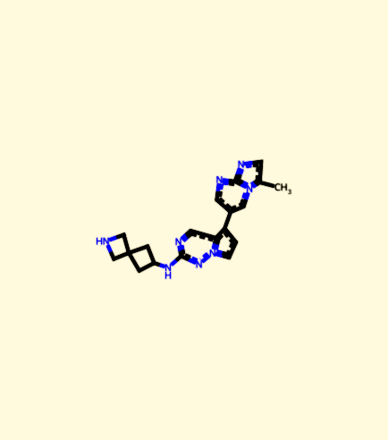 Cc1cnc2ncc(-c3ccn4nc(NC5CC6(CNC6)C5)ncc34)cn12